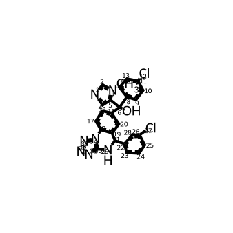 Cn1cncc1C(O)(c1ccc(Cl)cc1)c1ccc2c(c1)C(c1cccc(Cl)c1)Nc1nnnn1-2